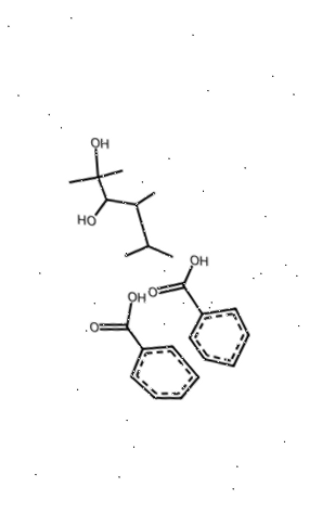 CC(C)C(C)C(O)C(C)(C)O.O=C(O)c1ccccc1.O=C(O)c1ccccc1